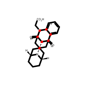 CCC1C[C@@H]2C[C@H](C1)C[C@@H](N1[C@@H]3CCC[C@H]1C[C@@H](n1c(=O)c4ccccc4n(CC(=O)O)c1=O)C3)C2